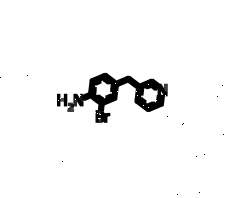 Nc1ccc(Cc2cccnc2)cc1Br